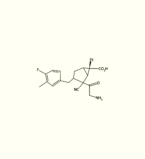 CC[C@]1(C(=O)O)C2CC(Cc3ccc(F)c(C)c3)C(C#N)(C(=O)CN)C21